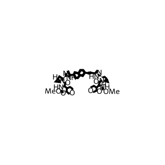 COC(=O)NC(C(=O)N1C2C[C@@H]2C[C@H]1c1ncc(-c2ccc3cc(C#Cc4cnc([C@@H]5CC6C[C@H]6N5C(=O)C(NC(=O)OC)C5CCOCC5)[nH]4)ccc3c2)[nH]1)C1CCOCC1